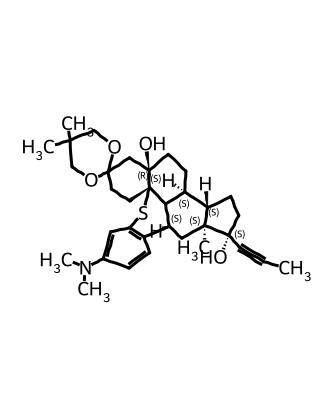 CC#C[C@]1(O)CC[C@H]2[C@@H]3CC[C@@]4(O)CC5(CC[C@@]46Sc4cc(N(C)C)ccc4[C@@H](C[C@@]21C)C36)OCC(C)(C)CO5